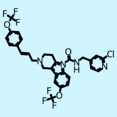 O=C(NCc1ccnc(Cl)c1)n1c2c(c3cc(OC(F)(F)F)ccc31)CN(C/C=C/c1ccc(OC(F)(F)F)cc1)CC2